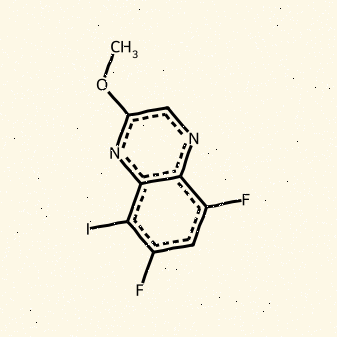 COc1cnc2c(F)cc(F)c(I)c2n1